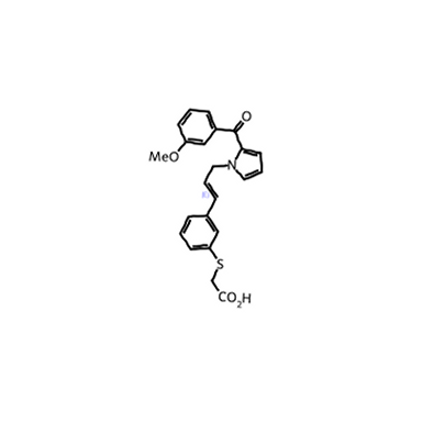 COc1cccc(C(=O)c2cccn2C/C=C/c2cccc(SCC(=O)O)c2)c1